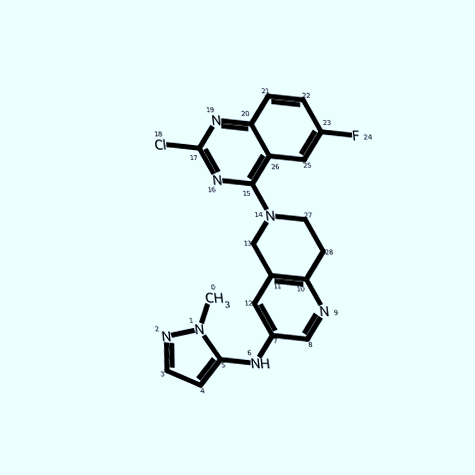 Cn1nccc1Nc1cnc2c(c1)CN(c1nc(Cl)nc3ccc(F)cc13)CC2